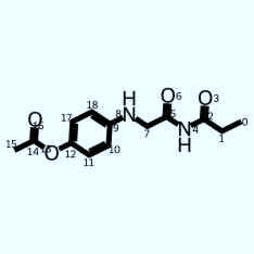 CCC(=O)NC(=O)CNc1ccc(OC(C)=O)cc1